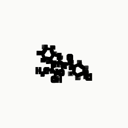 CC(C(=O)O)n1c(=NC(=O)c2ccc(Cl)cc2)sc2ccccc21